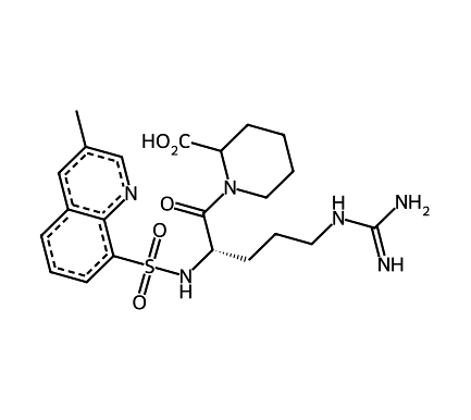 Cc1cnc2c(S(=O)(=O)N[C@@H](CCCNC(=N)N)C(=O)N3CCCCC3C(=O)O)cccc2c1